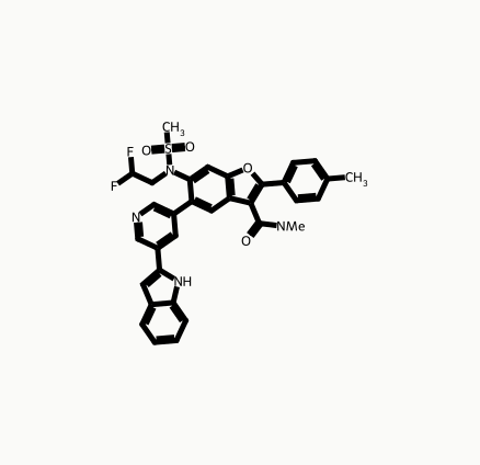 CNC(=O)c1c(-c2ccc(C)cc2)oc2cc(N(CC(F)F)S(C)(=O)=O)c(-c3cncc(-c4cc5ccccc5[nH]4)c3)cc12